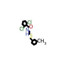 Cc1cccc(CSCCNC(=O)c2c(Cl)cccc2Cl)c1